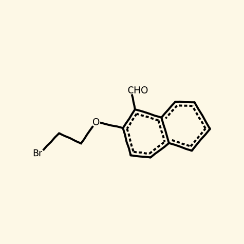 O=Cc1c(OCCBr)ccc2ccccc12